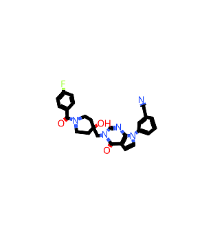 N#Cc1cccc(-n2ccc3c(=O)n(CC4(O)CCN(C(=O)c5ccc(F)cc5)CC4)cnc32)c1